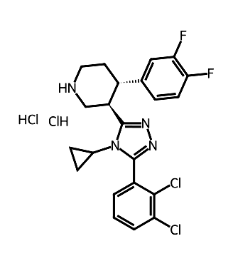 Cl.Cl.Fc1ccc([C@H]2CCNC[C@@H]2c2nnc(-c3cccc(Cl)c3Cl)n2C2CC2)cc1F